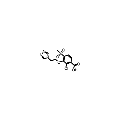 CS(=O)(=O)c1ccc(C(=O)O)c(Cl)c1OCCn1cnnn1